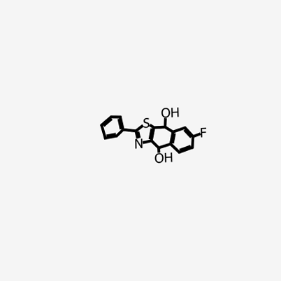 OC1c2ccc(F)cc2C(O)c2sc(-c3ccccc3)nc21